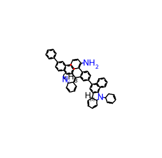 C/N=C1/C=CC=CC1=C(c1ccc2cc(-c3ccccc3)ccc2c1)c1cc(-c2cc3c(c4ccccc24)N(C2C=CC=CC2)C2C=CC=C[C@@H]32)ccc1C1=C(N)C=CCC1